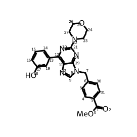 COC(=O)c1ccc(Cn2cnc3c(-c4cccc(O)c4)nc(N4CCOCC4)nc32)cc1